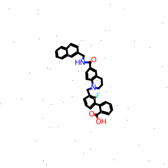 O=C(NCc1ccc2ccccc2c1)c1ccc2c(c1)CCCN2Cc1cccc(-c2ccccc2C(=O)O)c1F